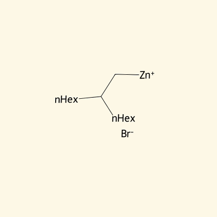 CCCCCCC([CH2][Zn+])CCCCCC.[Br-]